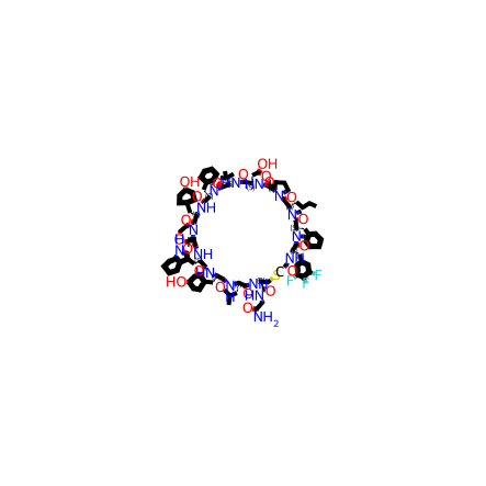 CCCC[C@H]1C(=O)N2CCC[C@@H]2C(=O)N[C@@H](CC(=O)O)C(=O)N[C@@H](C(C)(C)C)C(=O)N(C)[C@@H](Cc2ccccc2)C(=O)N[C@@H](Cc2ccc(O)cc2)C(=O)N2CCOC[C@@H]2C(=O)N[C@@H](Cc2c[nH]c3ccccc23)C(=O)N[C@@H](Cc2ccc(O)cc2)C(=O)N[C@@H](CC(C)C)C(=O)N[C@H](C(=O)NCC(N)=O)CSCC(=O)N[C@@H](Cc2cc(F)c(F)c(F)c2)C(=O)N(C)[C@@H](Cc2ccccc2)C(=O)N1C